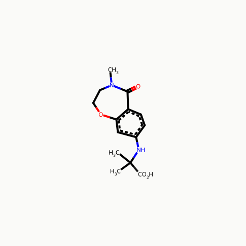 CN1CCOc2cc(NC(C)(C)C(=O)O)ccc2C1=O